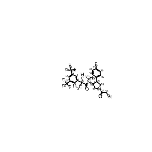 CN(C(=O)C(C)(C)c1cc(C(F)(F)F)cc(C(F)(F)F)c1)C1CN(C(=O)CBr)CC1c1ccc(F)cc1